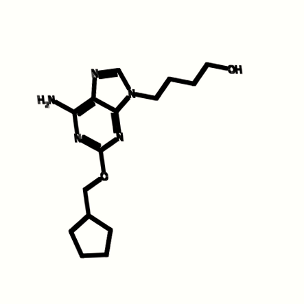 Nc1nc(OCC2CCCC2)nc2c1ncn2CCCCO